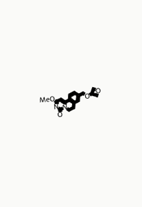 COc1cc2n(c(=O)n1)CCc1cc(COC3COC3)ccc1-2